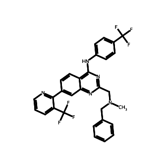 CN(Cc1ccccc1)Cc1nc(Nc2ccc(C(F)(F)F)cc2)c2ccc(-c3ncccc3C(F)(F)F)cc2n1